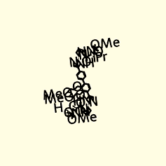 COCCOc1c(-c2ccc(-c3cnc([C@@H]4CCCN4C(=O)[C@H](NC(=O)OC)C(C)C)[nH]3)cc2)ccc(-c2cnc([C@@H]3CCCN3C(=O)[C@H](C)NC(=O)OC)[nH]2)c1OCCOC